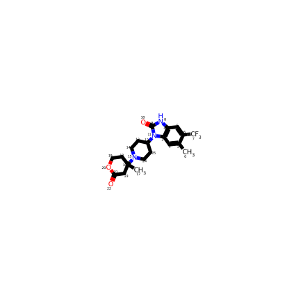 Cc1cc2c(cc1C(F)(F)F)[nH]c(=O)n2C1CCN(C2(C)CCOC(=O)C2)CC1